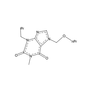 CCCOCn1cnc2c1c(=O)n(C)c(=O)n2CC(C)C